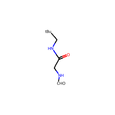 CC(C)(C)CNC(=O)CNC=O